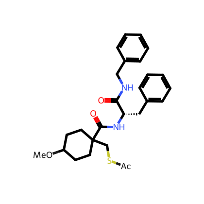 COC1CCC(CSC(C)=O)(C(=O)N[C@@H](Cc2ccccc2)C(=O)NCc2ccccc2)CC1